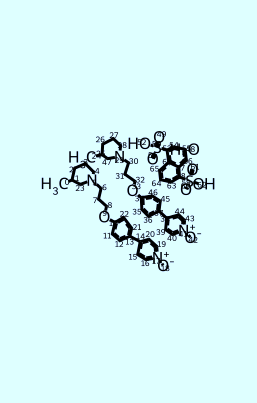 CC1CCCN(CCCOc2ccc(-c3cc[n+]([O-])cc3)cc2)C1.CC1CCCN(CCCOc2ccc(-c3cc[n+]([O-])cc3)cc2)C1.O.O=S(=O)(O)c1cccc2c(S(=O)(=O)O)cccc12